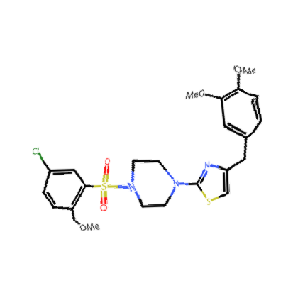 COc1ccc(Cc2csc(N3CCN(S(=O)(=O)c4cc(Cl)ccc4OC)CC3)n2)cc1OC